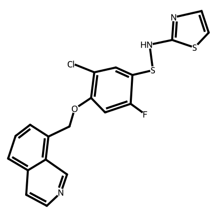 Fc1cc(OCc2cccc3ccncc23)c(Cl)cc1SNc1nccs1